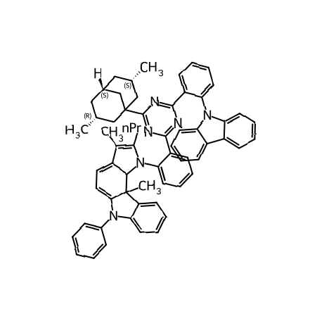 CCCC1=C(C)C2=CC=C3N(c4ccccc4)c4ccccc4C3(C)C2N1c1ccccc1-c1nc(-c2ccccc2-n2c3ccccc3c3ccccc32)nc(C23C[C@H](C)C[C@H](C[C@H](C)C2)C3)n1